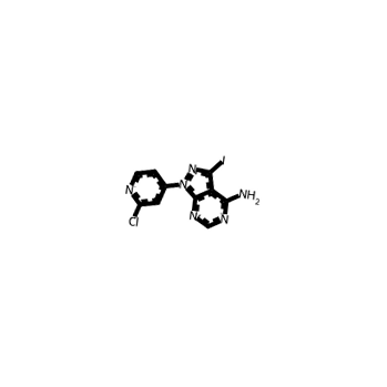 Nc1ncnc2c1c(I)nn2-c1ccnc(Cl)c1